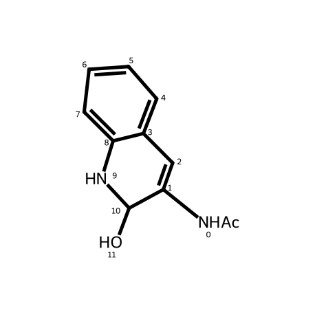 CC(=O)NC1=Cc2ccccc2NC1O